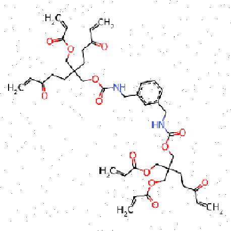 C=CC(=O)CCC(CCC(=O)C=C)(COC(=O)C=C)COC(=O)NCc1cccc(CNC(=O)OCC(CCC(=O)C=C)(COC(=O)C=C)COC(=O)C=C)c1